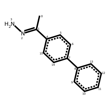 CC(=NN)c1ccc(-c2ccccc2)cc1